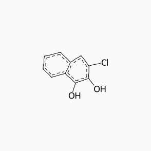 Oc1c(Cl)cc2ccccc2c1O